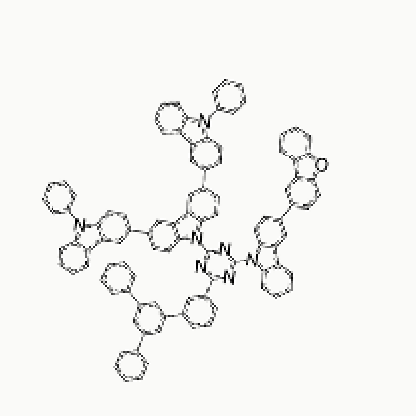 c1ccc(-c2cc(-c3ccccc3)cc(-c3cccc(-c4nc(-n5c6ccccc6c6cc(-c7ccc8oc9ccccc9c8c7)ccc65)nc(-n5c6ccc(-c7ccc8c(c7)c7ccccc7n8-c7ccccc7)cc6c6cc(-c7ccc8c(c7)c7ccccc7n8-c7ccccc7)ccc65)n4)c3)c2)cc1